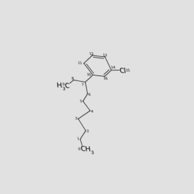 CCCCCCCC(CC)c1cccc(Cl)c1